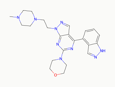 CN1CCN(CCn2ncc3c(-c4cccc5[nH]ncc45)nc(N4CCOCC4)nc32)CC1